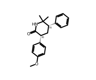 COc1ccc([C@H]2C[C@@H](c3ccccc3)C(C)(C)NC2=O)cc1